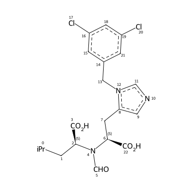 CC(C)C[C@@H](C(=O)O)N(C=O)[C@@H](Cc1cncn1Cc1cc(Cl)cc(Cl)c1)C(=O)O